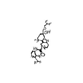 O=C(Nc1ccnc(C(F)F)c1F)N1CCc2nn3c(c2C1)C(F)(F)CC[C@@](O)(COCC(F)F)C3